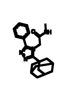 CNC(=O)Cn1c(-c2ccccc2)nnc1C12CC3CC(CC(C3)C1)C2